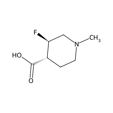 CN1CC[C@H](C(=O)O)[C@@H](F)C1